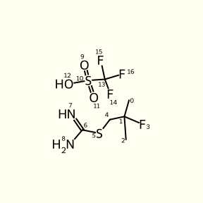 CC(C)(F)CSC(=N)N.O=S(=O)(O)C(F)(F)F